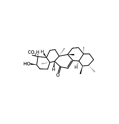 C[C@H]1[C@H]2C3=CC(=O)[C@@H]4[C@@]5(C)CC[C@@H](O)[C@](C)(C(=O)O)[C@@H]5CC[C@@]4(C)[C@]3(C)CC[C@@]2(C)CC[C@@H]1C